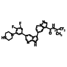 C[C@@H](NC(=O)c1cnn2ccc(-c3c[nH]c4ncc(-c5cc(F)c(F)c(N6CCNCC6)c5)cc34)cc12)C(F)(F)F